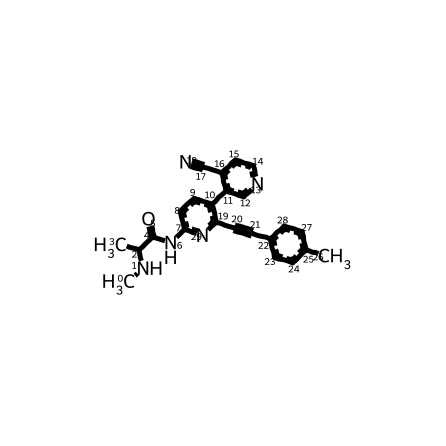 CNC(C)C(=O)Nc1ccc(-c2cnccc2C#N)c(C#Cc2ccc(C)cc2)n1